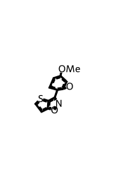 COc1ccc(-c2noc3ccsc23)c2c1O2